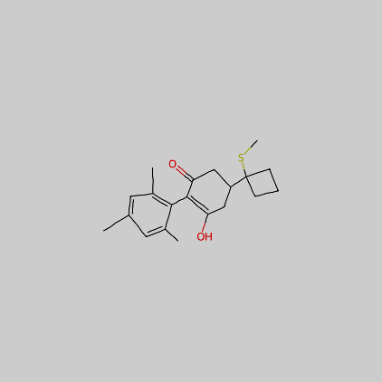 CSC1(C2CC(=O)C(c3c(C)cc(C)cc3C)=C(O)C2)CCC1